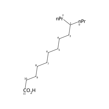 CCCC(CCC)CCCCCCCCC(=O)O